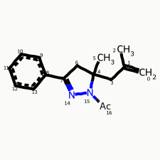 C=C(C)CC1(C)CC(c2ccccc2)=NN1C(C)=O